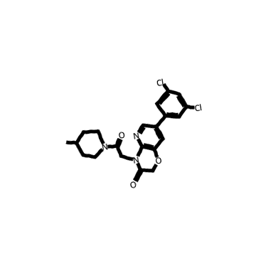 CC1CCN(C(=O)CN2C(=O)COc3cc(-c4cc(Cl)cc(Cl)c4)cnc32)CC1